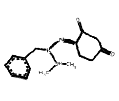 C[SiH](C)N(Cc1ccccc1)N=C1CCC(=O)CC1=O